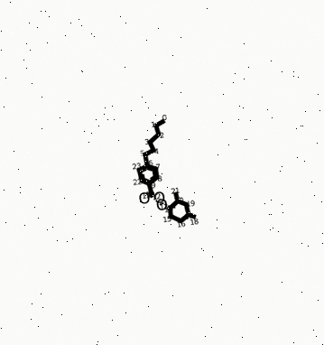 CCCCCCc1ccc(C(=O)OO[C]2CCC(C)CC2C)cc1